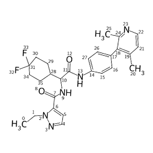 CCn1nccc1C(=O)NC(C(=O)Nc1ccc(-c2c(C)ccnc2C)cc1)C1CCC(F)(F)CC1